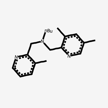 CCCCN(Cc1ncccc1C)Cc1ncc(C)cc1C